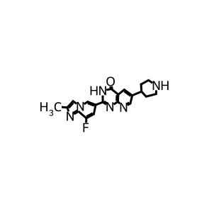 Cc1cn2cc(-c3nc4ncc(C5CCNCC5)cc4c(=O)[nH]3)cc(F)c2n1